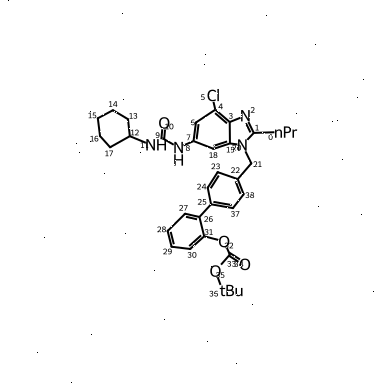 CCCc1nc2c(Cl)cc(NC(=O)NC3CCCCC3)cc2n1Cc1ccc(-c2ccccc2OC(=O)OC(C)(C)C)cc1